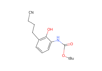 CC(C)(C)OC(=O)Nc1cccc(CCCC#N)c1O